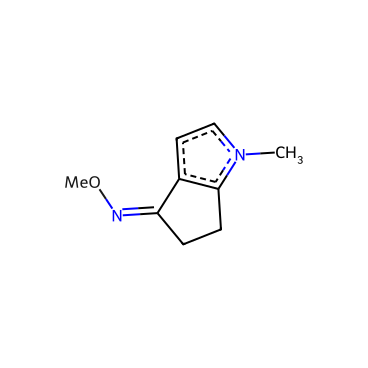 CON=C1CCc2c1ccn2C